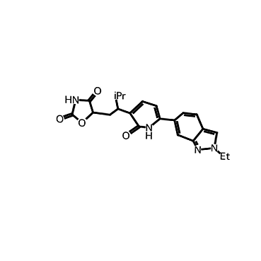 CCn1cc2ccc(-c3ccc(C(CC4OC(=O)NC4=O)C(C)C)c(=O)[nH]3)cc2n1